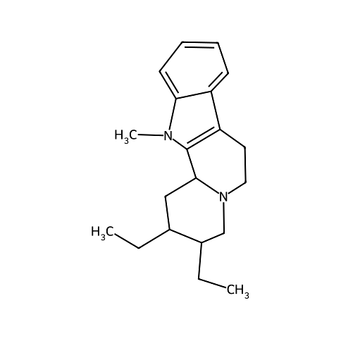 CCC1CC2c3c(c4ccccc4n3C)CCN2CC1CC